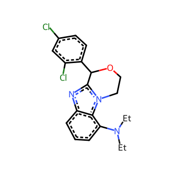 CCN(CC)c1cccc2nc3n(c12)CCOC3c1ccc(Cl)cc1Cl